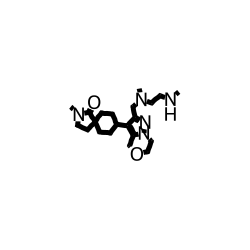 CNCCN(C)Cc1nn2c(c1C1CCC3(CC1)CCN(C)C3=O)COCC2